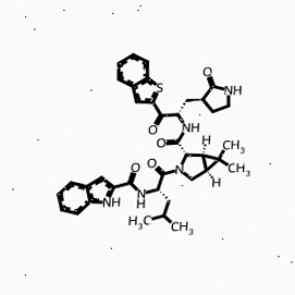 CC(C)C[C@H](NC(=O)c1cc2ccccc2[nH]1)C(=O)N1C[C@H]2[C@@H]([C@H]1C(=O)N[C@@H](C[C@@H]1CCNC1=O)C(=O)c1cc3ccccc3s1)C2(C)C